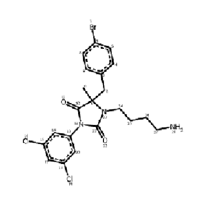 CC1(Cc2ccc(Br)cc2)C(=O)N(c2cc(Cl)cc(Cl)c2)C(=O)N1CCCCN